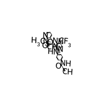 C#CC(=O)Nc1ccc(Nc2ncc(C(F)(F)F)c(NCc3cccnc3N(C)S(C)(=O)=O)n2)cc1